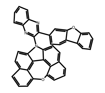 c1ccc2nc(-n3c4ccc5cccc6oc7cccc8ccc3c(c87)c4c56)c(-c3ccc4c(c3)oc3ccccc34)nc2c1